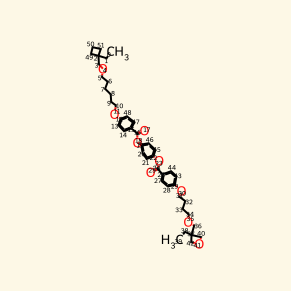 CCC1(COCCCCCCOc2ccc(C(=O)Oc3ccc(OC(=O)c4ccc(OCCCCOCC5(CC)COC5)cc4)cc3)cc2)CCC1